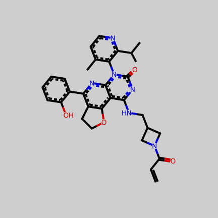 C=CC(=O)N1CC(CNc2nc(=O)n(-c3c(C)ccnc3C(C)C)c3nc(-c4ccccc4O)c4c(c23)OCC4)C1